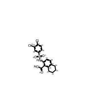 O=C(O)c1c(NS(=O)(=O)c2ccc(Cl)c(Cl)c2)ccc2c1CCCC2